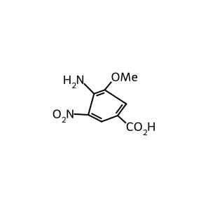 COc1cc(C(=O)O)cc([N+](=O)[O-])c1N